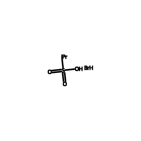 Br.CC(C)S(=O)(=O)O